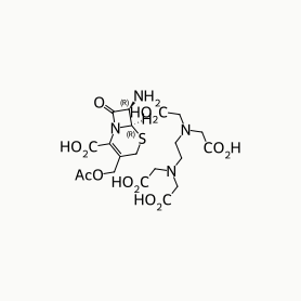 CC(=O)OCC1=C(C(=O)O)N2C(=O)[C@@H](N)[C@H]2SC1.O=C(O)CN(CCN(CC(=O)O)CC(=O)O)CC(=O)O